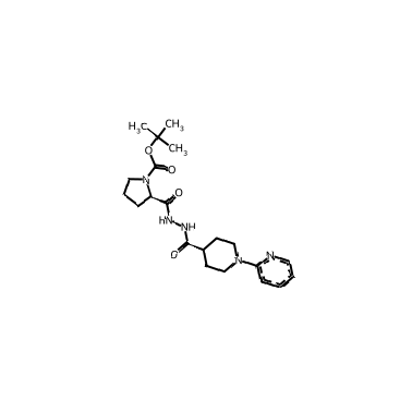 CC(C)(C)OC(=O)N1CCC[C@@H]1C(=O)NNC(=O)C1CCN(c2ccccn2)CC1